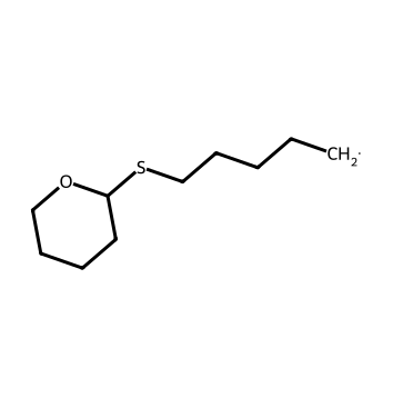 [CH2]CCCCSC1CCCCO1